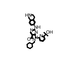 CC(C)(O)c1cccc(-n2c3nc(Nc4ccc5c(c4)CCNC5)ncc3c(=O)n2CC2CCCCC2)n1